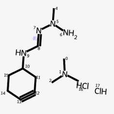 CN(C)C.CN(N)/N=C/NC1CC#CCC1.Cl.Cl